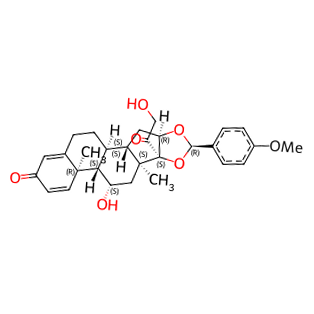 COc1ccc([C@@H]2O[C@@H]3C[C@H]4[C@@H]5CCC6=CC(=O)C=C[C@]6(C)[C@H]5[C@@H](O)C[C@]4(C)[C@]3(C(=O)CO)O2)cc1